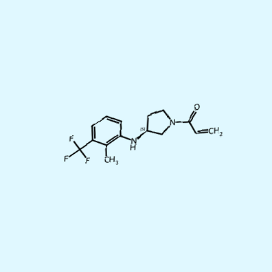 C=CC(=O)N1CC[C@H](Nc2cccc(C(F)(F)F)c2C)C1